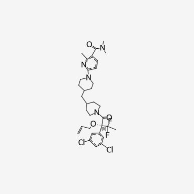 C=CCO[C@@](C(=O)N1CCC(CC2CCN(c3ccc(C(=O)N(C)C)c(C)n3)CC2)CC1)(c1cc(Cl)cc(Cl)c1)C(C)(F)F